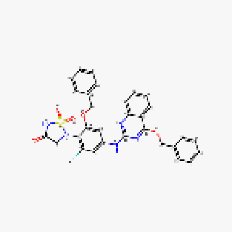 O=C1CN(c2c(F)cc(Nc3nc(OCc4ccccc4)c4ccccc4n3)cc2OCc2ccccc2)S(=O)(=O)N1